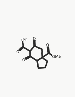 CCCC(=O)C1C(=O)CC2(C(=O)OC)CCCC2C1=O